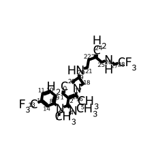 C=CC(/C(=N\C)N(C)c1cccc(C(F)(F)F)c1)=C(/C)N1CC(NCCC(=C)CNCC(F)(F)F)C1